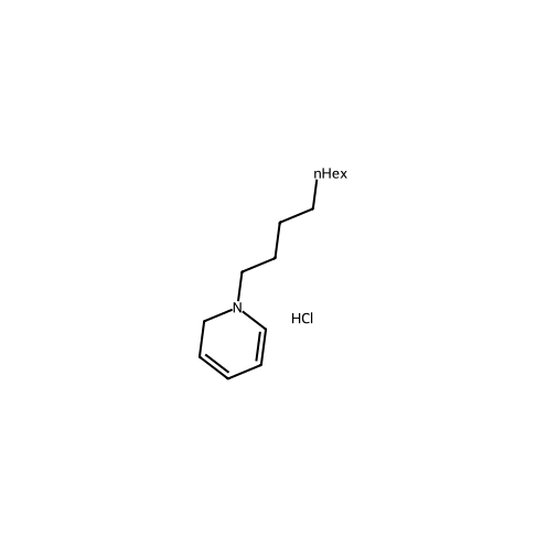 CCCCCCCCCCN1C=CC=CC1.Cl